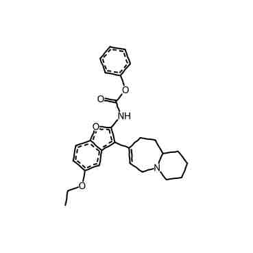 CCOc1ccc2oc(NC(=O)Oc3ccccc3)c(C3=CCN4CCCCC4CC3)c2c1